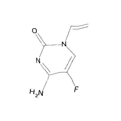 C=Cn1cc(F)c(N)nc1=O